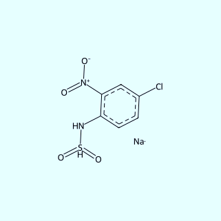 O=[N+]([O-])c1cc(Cl)ccc1N[SH](=O)=O.[Na]